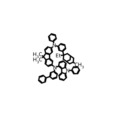 CCC1(c2cccc(N(c3ccccc3)c3ccc4c(c3)-c3cc(N(c5cccc(-c6ccccc6)c5)c5cccc6c5c5ccccc5n6-c5ccccc5)ccc3C4(C)C)c2)CC2CC(C)CC(C2)C1